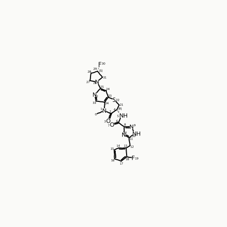 CN1C(=O)[C@@H](NC(=O)c2n[nH]c(Cc3ccccc3F)n2)CSc2cc(N3CC[C@H](F)C3)ncc21